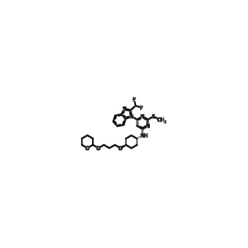 CSc1nc(N[C@H]2CC[C@H](OCCCOC3CCCCO3)CC2)cc(-n2c(C(F)F)nc3ccccc32)n1